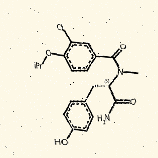 CC(C)Oc1ccc(C(=O)N(C)[C@@H](Cc2ccc(O)cc2)C(N)=O)cc1Cl